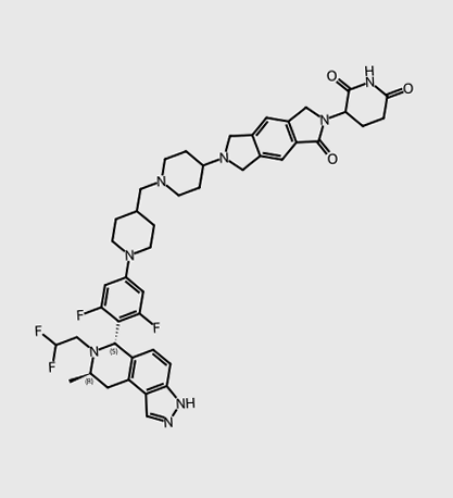 C[C@@H]1Cc2c(ccc3[nH]ncc23)[C@@H](c2c(F)cc(N3CCC(CN4CCC(N5Cc6cc7c(cc6C5)C(=O)N(C5CCC(=O)NC5=O)C7)CC4)CC3)cc2F)N1CC(F)F